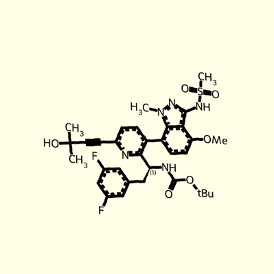 COc1ccc(-c2ccc(C#CC(C)(C)O)nc2[C@H](Cc2cc(F)cc(F)c2)NC(=O)OC(C)(C)C)c2c1c(NS(C)(=O)=O)nn2C